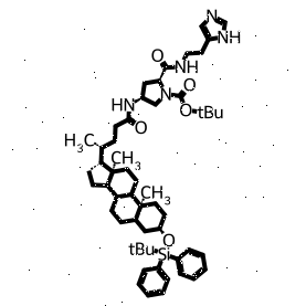 C[C@H](CCC(=O)N[C@H]1C[C@@H](C(=O)NCCc2cnc[nH]2)N(C(=O)OC(C)(C)C)C1)[C@H]1CCC2C3CCC4C[C@H](O[Si](c5ccccc5)(c5ccccc5)C(C)(C)C)CC[C@]4(C)C3CC[C@@]21C